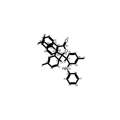 CC1=CC(Nc2ccccc2)C(C)(C2(C3(C)C=CC(C)=CC3Nc3ccccc3)OC(=O)c3cc(N(C)C)ccc32)C=C1